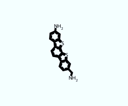 NCc1ccc2c(c1)sc1c2ccc2c3ccc(N)cc3sc21